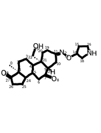 C[C@]12CCC3C(CC(=O)[C@H]4CC(=NOC5CCNC5)CC[C@]34CO)C1CCC2=O